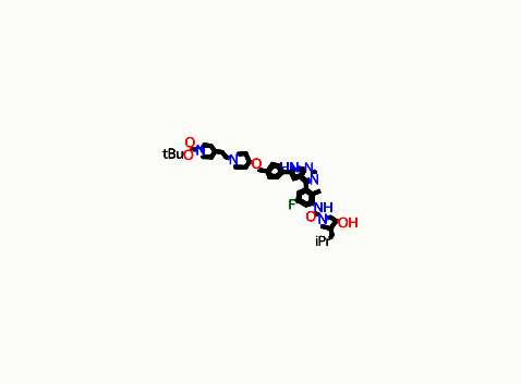 Cc1c(NC(=O)N2CC(O)C(CC(C)C)C2)cc(F)cc1-c1ncnc2[nH]c(-c3ccc(COC4CCN(CCC5CCN(C(=O)OC(C)(C)C)CC5)CC4)cc3)cc12